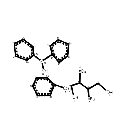 CCCCC(CO)C(CO)CCCC.O=C(O)c1ccccc1.OP(c1ccccc1)c1ccccc1